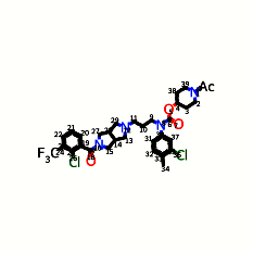 CC(=O)N1CCC(OC(=O)N(CCCN2CC3CN(C(=O)c4cccc(C(F)(F)F)c4Cl)CC3C2)c2ccc(C)c(Cl)c2)CC1